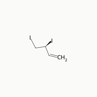 C=C[C@H](I)CI